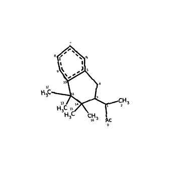 CC(=O)C(C)C1Cc2ccccc2C(C)(C)C1(C)C